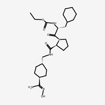 CCOC(=O)N[C@H](CC1CCCCC1)C(=O)N1CCC[C@H]1C(=O)NC[C@H]1CC[C@H](C(N)=NO)CC1